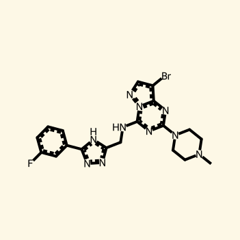 CN1CCN(c2nc(NCc3nnc(-c4cccc(F)c4)[nH]3)n3ncc(Br)c3n2)CC1